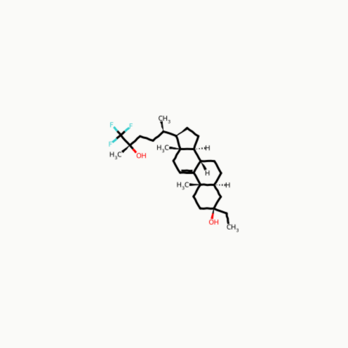 CC[C@]1(O)CC[C@]2(C)C3=CC[C@]4(C)[C@@H]([C@H](C)CC[C@](C)(O)C(F)(F)F)CC[C@H]4[C@@H]3CC[C@H]2C1